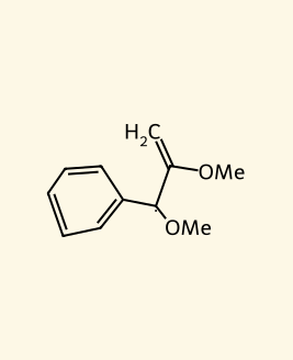 C=C(OC)[C](OC)c1ccccc1